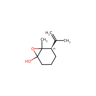 C=C(C)[C@H]1CCCC2(O)OC12C